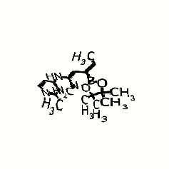 C=N/C(=C\C(=C/C)B1OC(C)(C)C(C)(C)O1)Nc1ccnc(C)n1